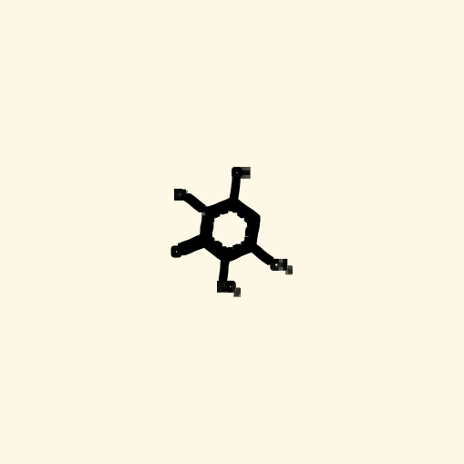 CCn1c(O)cc(C)c([N+](=O)[O-])c1=O